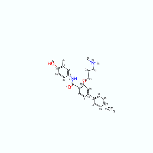 Cc1cc(NC(=O)c2ccc(-c3ccc(C(F)(F)F)cc3)cc2OCCCN(C)C)ccc1O